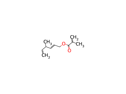 C=CC(C)C=CCOC(=O)C(=C)C